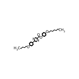 CCCCCCCOc1ccc(OC(=O)c2cnc(-c3ccc(OCCCCC)cc3)cn2)cc1